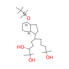 CC(C)(O)CCCC(CCC(O)C(C)(C)O)C1CCC2[C@@H](O[Si](C)(C)C(C)(C)C)CCC[C@]12C